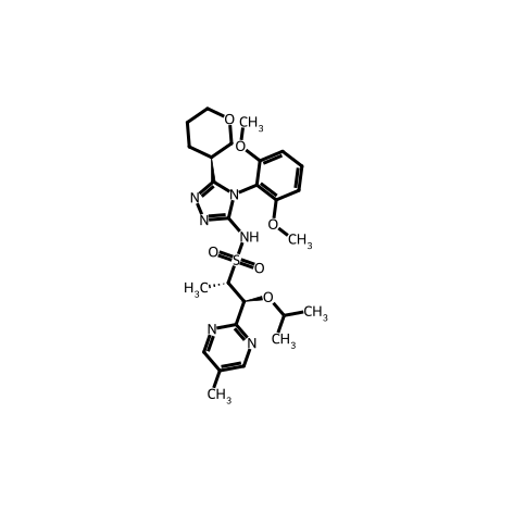 COc1cccc(OC)c1-n1c(NS(=O)(=O)[C@@H](C)[C@@H](OC(C)C)c2ncc(C)cn2)nnc1[C@H]1CCCOC1